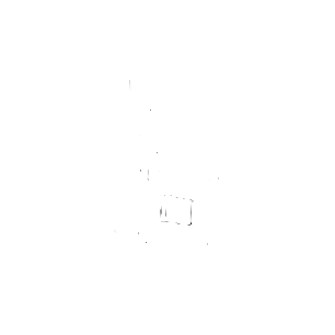 CCNc1c(NCCCI)c(=O)c1=O